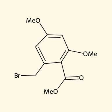 COC(=O)c1c(CBr)cc(OC)cc1OC